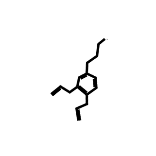 [CH2]CCCc1ccc(CC=C)c(CC=C)c1